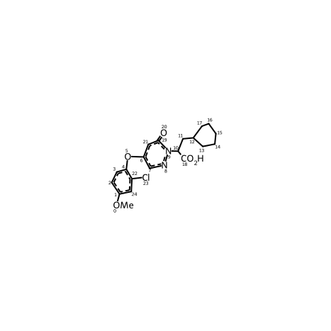 COc1ccc(Oc2cnn(C(CC3CCCCC3)C(=O)O)c(=O)c2)c(Cl)c1